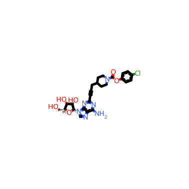 Nc1nc(C#CCC2CCN(C(=O)Oc3ccc(Cl)cc3)CC2)nc2c1ncn2[C@@H]1O[C@H](CO)C(O)[C@@H]1O